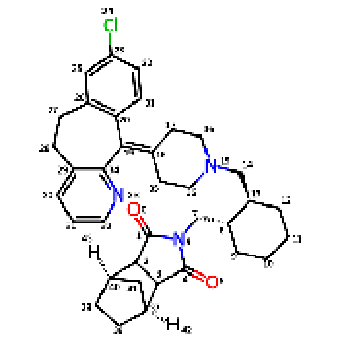 O=C1C2C(C(=O)N1C[C@H]1CCCC[C@@H]1CN1CCC(=C3c4ccc(Cl)cc4CCc4cccnc43)CC1)[C@H]1CC[C@@H]2C1